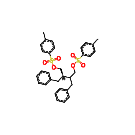 Cc1ccc(S(=O)(=O)OCC(Cc2ccccc2)[C@H](COS(=O)(=O)c2ccc(C)cc2)Cc2ccccc2)cc1